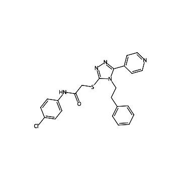 O=C(CSc1nnc(-c2ccncc2)n1CCc1ccccc1)Nc1ccc(Cl)cc1